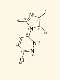 Cc1nc(C)n(-c2ccc(Cl)nn2)c1C